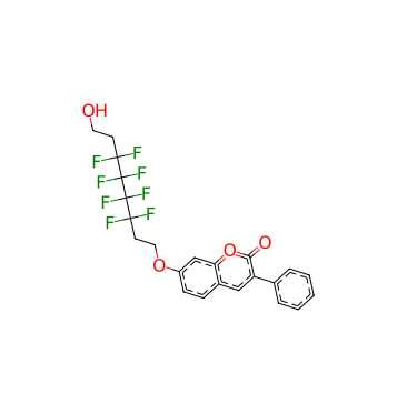 O=c1oc2cc(OCCC(F)(F)C(F)(F)C(F)(F)C(F)(F)CCO)ccc2cc1-c1ccccc1